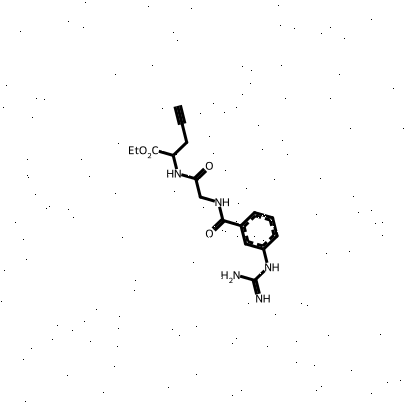 C#CCC(NC(=O)CNC(=O)c1cccc(NC(=N)N)c1)C(=O)OCC